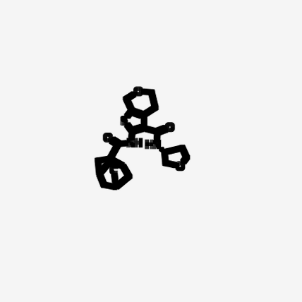 O=C(N[C@@H]1CCOC1)c1c(NC(=O)C23CC4CC(CC2C4)C3)sc2c1CCOC2